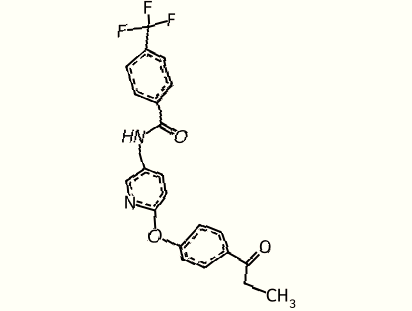 CCC(=O)c1ccc(Oc2ccc(NC(=O)c3ccc(C(F)(F)F)cc3)cn2)cc1